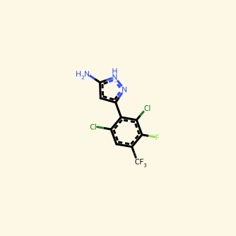 Nc1cc(-c2c(Cl)cc(C(F)(F)F)c(F)c2Cl)n[nH]1